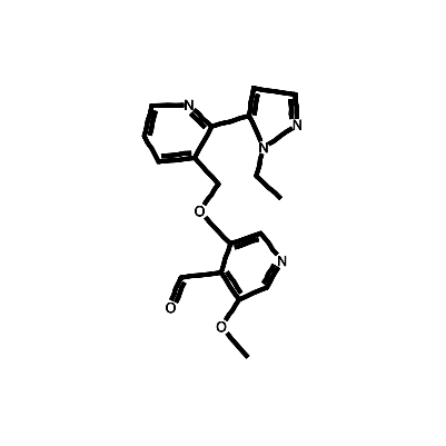 CCn1nccc1-c1ncccc1COc1cncc(OC)c1C=O